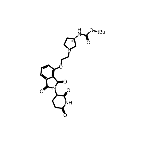 CC(C)(C)OC(=O)N[C@@H]1CCN(CCOc2cccc3c2C(=O)N(C2CCC(=O)NC2=O)C3=O)C1